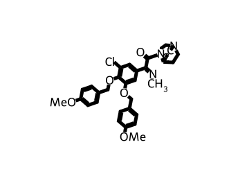 CN=C(C(=O)N1CCN2CCC1CC2)c1cc(Cl)c(OCc2ccc(OC)cc2)c(OCc2ccc(OC)cc2)c1